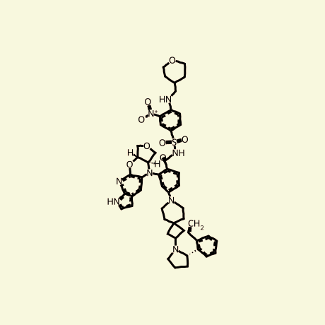 C=Cc1ccccc1[C@@H]1CCCN1C1CC2(CCN(c3ccc(C(=O)NS(=O)(=O)c4ccc(NCC5CCOCC5)c([N+](=O)[O-])c4)c(N4c5cc6cc[nH]c6nc5O[C@@H]5COC[C@H]54)c3)CC2)C1